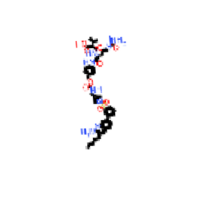 CCCCCc1cc2ccc(-c3cccc(S(=O)(=O)N4CC(CNC(=O)OCc5ccc(NC(=O)[C@H](CCCNC(N)=O)NC(=O)[C@@H](C(=O)O)C(C)C)cc5)C4)c3)cc2nc1N